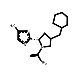 Cc1cnc([C@@H]2C[C](CC3CCCCC3)CN2C(N)=O)o1